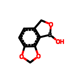 OB1OCc2ccc3c(c21)OCO3